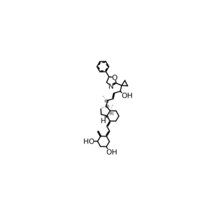 C=C1C(=CC=C2CCC[C@]3(C)[C@@H]([C@H](C)C=CC(O)C4(C5=NCC(c6ccccc6)O5)CC4)CC[C@@H]23)CC(O)CC1O